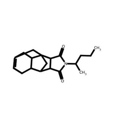 CCCC(C)N1C(=O)C2C3CC4(CC5=CCC3C4C5)C2C1=O